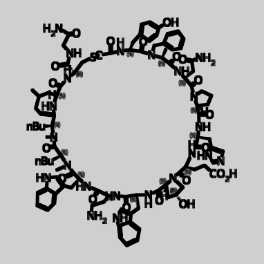 CCCC[C@H]1C(=O)N(C)[C@@H](CCCC)C2=CCC(C)C[C@H](N2)C(=O)N[C@H](C(=O)NCC(N)=O)CSCC(=O)N[C@@H](Cc2ccc(O)cc2)C(=O)N(Cc2ccccc2)[C@@H](C)C(=O)N[C@@H](CC(N)=O)C(=O)N2CCC[C@H]2C(=O)N[C@@H](Cc2cnc[nH]2)C(=O)N[C@@H](CCC(=O)O)C(=O)N2C[C@H](O)C[C@H]2C(=O)N[C@@H](Cc2c[nH]c3ccccc23)C(=O)N[C@@H](CCN)C(=O)N[C@@H](Cc2c[nH]c3ccccc23)C(=O)N1C